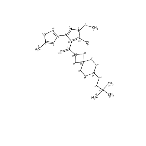 CCn1nc(-c2cc(C)on2)c(C(=O)N2CC3(CCN(CCC(C)(C)C)CC3)C2)c1Cl